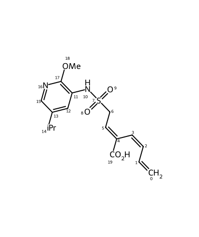 C=C/C=C\C(=C/CS(=O)(=O)Nc1cc(C(C)C)cnc1OC)C(=O)O